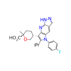 CC(C)c1c([C@H]2CC[C@](C)(C(=O)O)OC2)c2nc3[nH]ncc3cc2n1-c1ccc(F)cc1